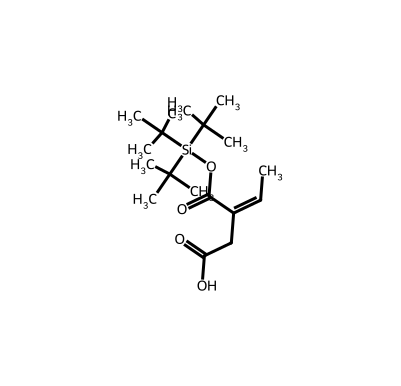 CC=C(CC(=O)O)C(=O)O[Si](C(C)(C)C)(C(C)(C)C)C(C)(C)C